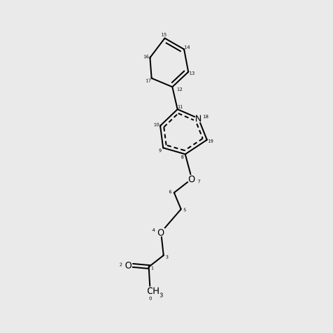 CC(=O)COCCOc1ccc(C2=CC=CCC2)nc1